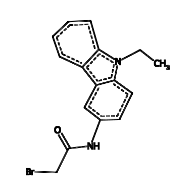 CCn1c2ccccc2c2cc(NC(=O)CBr)ccc21